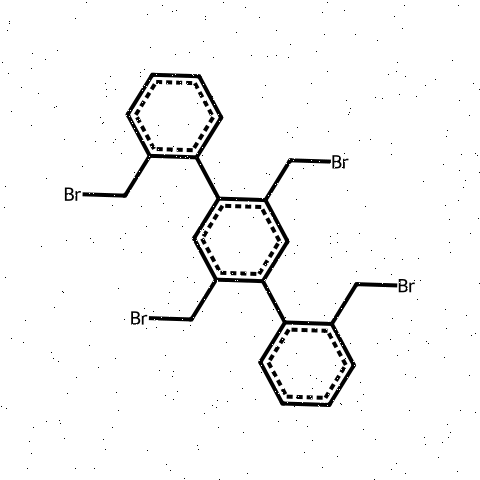 BrCc1ccccc1-c1cc(CBr)c(-c2ccccc2CBr)cc1CBr